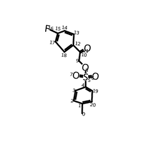 Cc1ccc(S(=O)(=O)OCC(=O)c2ccc(F)cc2)cc1